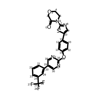 O=C1COCCN1c1ncc(-c2ccc(Oc3ncc(-c4cccc(C(F)(F)F)c4)cn3)cc2)s1